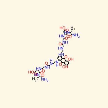 C[C@H](NC(=O)[C@H](CC(=O)O)NC(=O)CNC(=O)CNCCNc1ccc(NCCNCC(=O)NCC(=O)N[C@@H](CC(=O)O)C(=O)N[C@@H](C)C(N)=O)c2c1C(=O)c1c(O)ccc(O)c1C2=O)C(N)=O